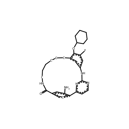 Nc1cc2ccc1-c1ccnc(n1)Nc1cc(F)c(OC3CCCCC3)c(c1)COCCCCNC2=O